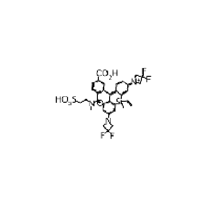 C=C[Si]1(C)C2=CC(=[N+]3CC(F)(F)C3)C=CC2=C(c2cc(C(=O)O)ccc2C(=O)N(C)CCS(=O)(=O)O)c2ccc(N3CC(F)(F)C3)cc21